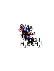 COC(=O)N[C@@H]1C[C@]23CCO[C@@H]4[C@H]2[C@@H](C(=O)N4c2cc(C)c(C)c(C)c2)[C@@]1(C)O3